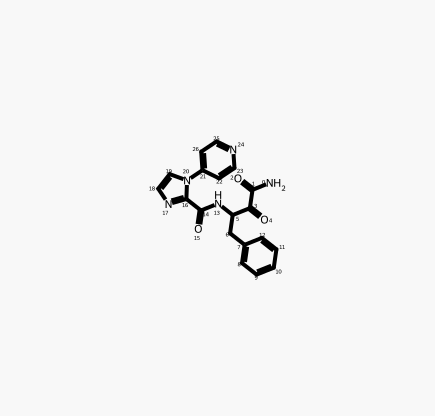 NC(=O)C(=O)C(Cc1ccccc1)NC(=O)c1nccn1-c1ccncc1